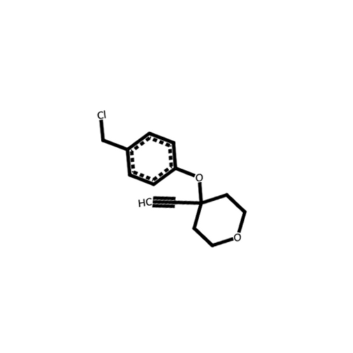 C#CC1(Oc2ccc(CCl)cc2)CCOCC1